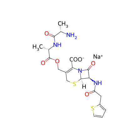 C[C@H](N)C(=O)N[C@@H](C)C(=O)OCC1=C(C(=O)[O-])N2C(=O)[C@@H](NC(=O)Cc3cccs3)[C@H]2SC1.[Na+]